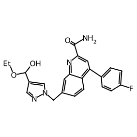 CCOC(O)c1cnn(Cc2ccc3c(-c4ccc(F)cc4)cc(C(N)=O)nc3c2)c1